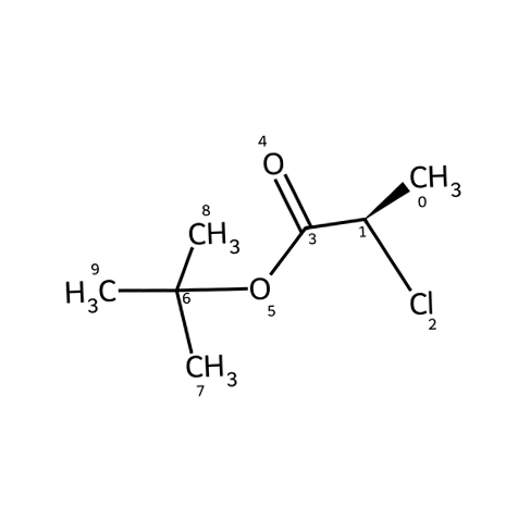 C[C@@H](Cl)C(=O)OC(C)(C)C